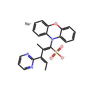 CC=C(C(C)=C(N1c2ccccc2Oc2ccccc21)S(=O)(=O)[O-])c1ncccn1.[Na+]